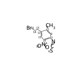 Cc1cc(N=C=S)c([N+](=O)[O-])cc1CCBr